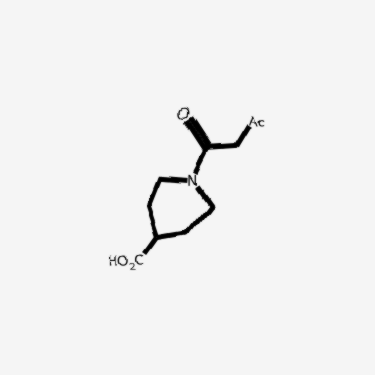 CC(=O)CC(=O)N1CCC(C(=O)O)CC1